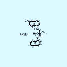 CC(C)(CNc1ccnc2cc(Cl)ccc12)NCc1cccc2ccccc12.Cl.Cl